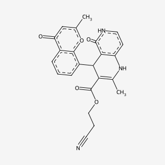 CC1=C(C(=O)OCCC#N)C(c2cccc3c(=O)cc(C)oc23)c2c(cc[nH]c2=O)N1